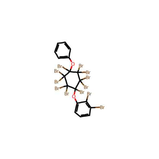 Brc1cccc(OC2(Br)C(Br)(Br)C(Br)(Br)C(Br)(Oc3ccccc3)C(Br)(Br)C2(Br)Br)c1Br